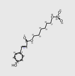 O=C(/C=C/c1ccc(O)cc1)OCCCCCCO[N+](=O)[O-]